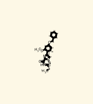 COc1cc(OCc2ccccc2)ccc1-c1cn2nc(SC)[nH]c(=O)c2n1